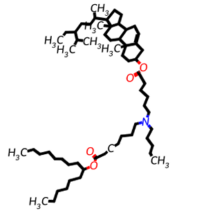 CCCCCCCCC(CCCCCC)OC(=O)CCCCCCN(CCCCC)CCCCCC(=O)OC1CCC2(C)C(=CCC3C2CCC2(C)C(C(C)CCC(CC)C(C)C)CCC32)C1